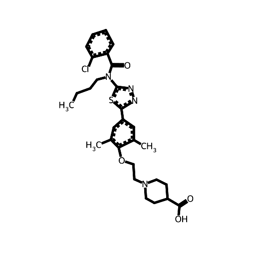 CCCCN(C(=O)c1ccccc1Cl)c1nnc(-c2cc(C)c(OCCN3CCC(C(=O)O)CC3)c(C)c2)s1